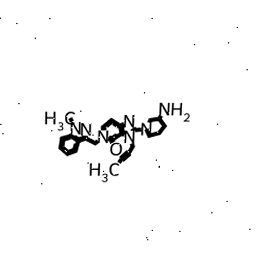 CC#CCn1c(N2CCCC(N)C2)nc2ccn(Cc3nn(C)c4ccccc34)c(=O)c21